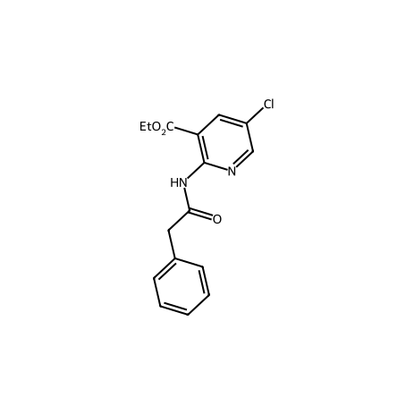 CCOC(=O)c1cc(Cl)cnc1NC(=O)Cc1ccccc1